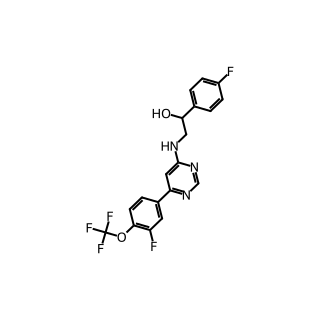 OC(CNc1cc(-c2ccc(OC(F)(F)F)c(F)c2)ncn1)c1ccc(F)cc1